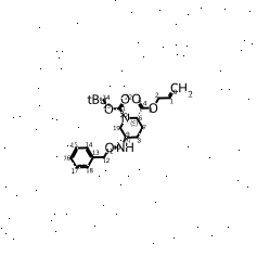 C=CCOC(=O)[C@@H]1CC[C@@H](NOCc2ccccc2)CN1C(=O)OC(C)(C)C